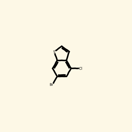 Clc1cc(Br)cc2sccc12